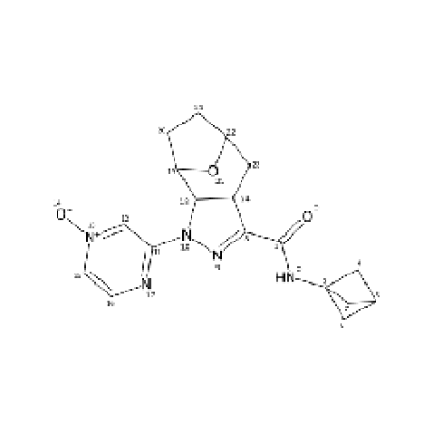 O=C(NC12CC(C1)C2)C1=NN(c2c[n+]([O-])ccn2)C2C3CCC(CC12)O3